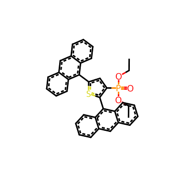 CCOP(=O)(OCC)c1cc(-c2c3ccccc3cc3ccccc23)sc1-c1c2ccccc2cc2ccccc12